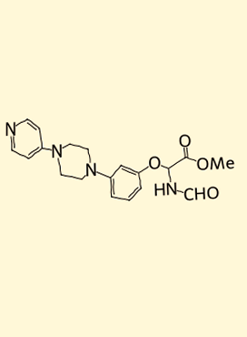 COC(=O)C(NC=O)Oc1cccc(N2CCN(c3ccncc3)CC2)c1